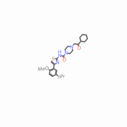 CCCc1ccc(OC)c(-c2csc(NC(=O)N3CCN(CC(=O)C4CCCCC4)CC3)n2)c1